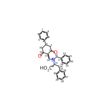 O=C1CC(c2ccccc2)CC(=O)C1=CN(Cc1ccccc1)C(Cc1ccccc1)C(=O)O